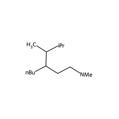 CCCCC(CCNC)C(C)C(C)C